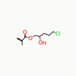 C=C(C)C(=O)OCC(O)CCCCl